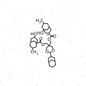 CC1CC2C[C@@H](C(=O)OCC3(COC(=O)C45CC(C)CC(CC(O)C4)C5)COC(C4CC5CCCC(C5)C4)OC3)CC(O)(C1)C2